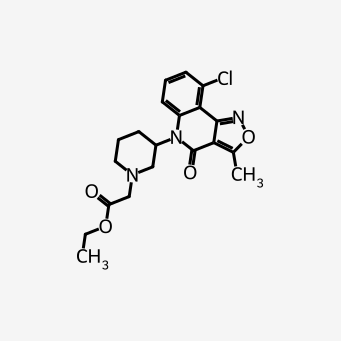 CCOC(=O)CN1CCCC(n2c(=O)c3c(C)onc3c3c(Cl)cccc32)C1